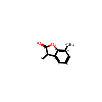 CC1C(=O)Oc2c1cccc2C(C)(C)C